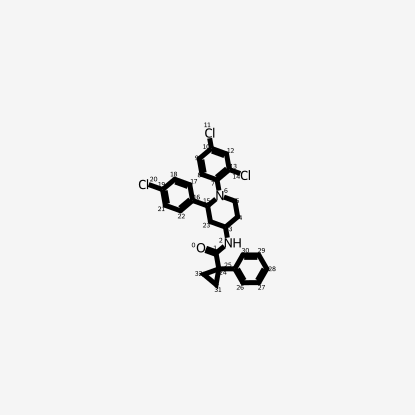 O=C(NC1CCN(c2ccc(Cl)cc2Cl)C(c2ccc(Cl)cc2)C1)C1(c2ccccc2)CC1